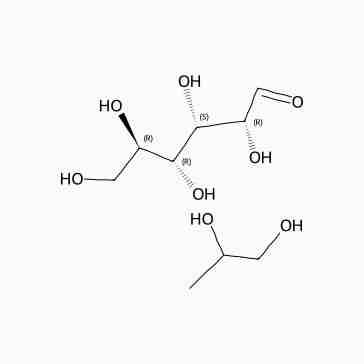 CC(O)CO.O=C[C@H](O)[C@@H](O)[C@H](O)[C@H](O)CO